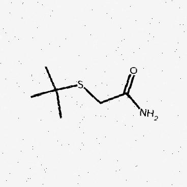 CC(C)(C)SCC(N)=O